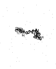 COC(=O)N[C@H](C(=O)N1CCC[C@H]1C1NC=C(c2ccc3cc(-c4ccc(-c5cnc([C@@H]6CCCN6C(=O)[C@H](NC(=O)OC(C)(C)C)c6ccccc6)[nH]5)cc4)ccc3c2)N1)C(C)C